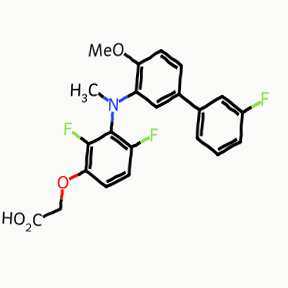 COc1ccc(-c2cccc(F)c2)cc1N(C)c1c(F)ccc(OCC(=O)O)c1F